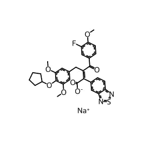 COc1ccc(C(=O)C(Cc2cc(OC)c(OC3CCCC3)c(OC)c2)=C(C(=O)[O-])c2ccc3nsnc3c2)cc1F.[Na+]